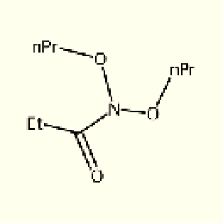 CCCON(OCCC)C(=O)CC